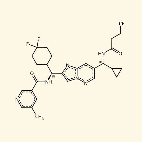 Cc1cncc(C(=O)N[C@H](c2cn3ncc([C@H](NC(=O)CCC(F)(F)F)C4CC4)cc3n2)C2CCC(F)(F)CC2)c1